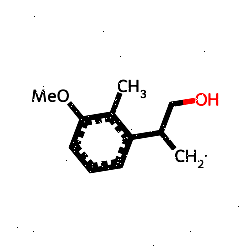 [CH2]C(CO)c1cccc(OC)c1C